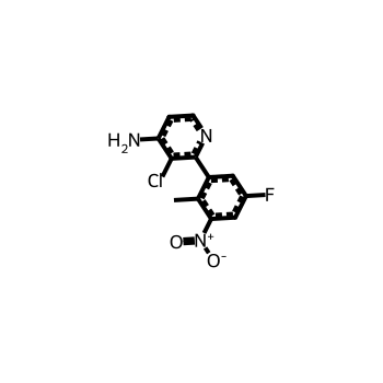 Cc1c(-c2nccc(N)c2Cl)cc(F)cc1[N+](=O)[O-]